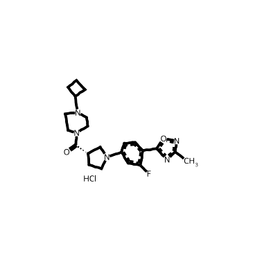 Cc1noc(-c2ccc(N3CC[C@H](C(=O)N4CCN(C5CCC5)CC4)C3)cc2F)n1.Cl